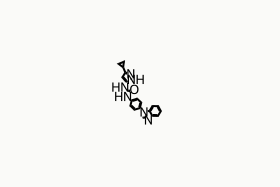 O=C(Nc1ccc(-n2cnc3ccccc32)cc1)Nc1cc(C2CC2)n[nH]1